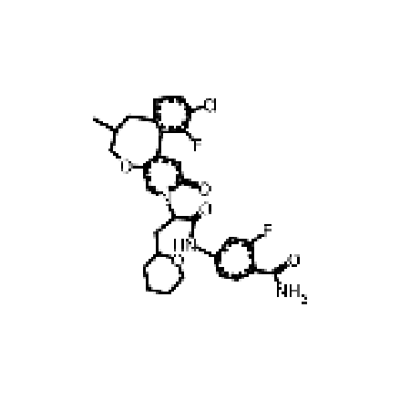 CC1COc2cn(C(CC3CCCCO3)C(=O)Nc3ccc(C(N)=O)c(F)c3)c(=O)cc2-c2c(ccc(Cl)c2F)C1